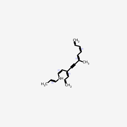 C=C/C=C\C=C(/C)C#CC(/C=C\N/C=C/C)=C/C=C